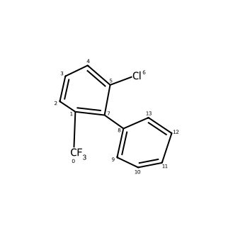 FC(F)(F)c1cccc(Cl)c1-c1ccccc1